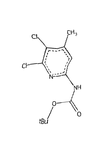 Cc1cc(NC(=O)OC(C)(C)C)nc(Cl)c1Cl